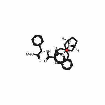 COC(=O)[C@@H](NC(=O)c1nc2ccccc2n([C@H]2C[C@H]3CC[C@@H](C2)N3C2CCCCCCC2)c1=O)c1ccccc1